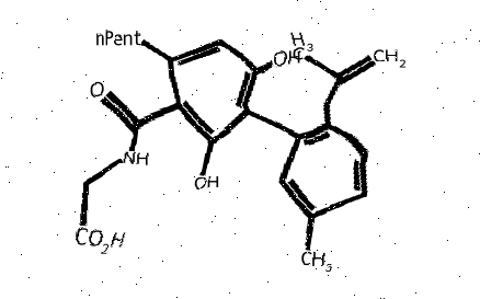 C=C(C)c1ccc(C)cc1-c1c(O)cc(CCCCC)c(C(=O)NCC(=O)O)c1O